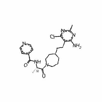 Cc1nc(N)c(CCC2CCCN(C(=O)[C@H](C)NC(=O)c3ccncc3)CC2)c(Cl)n1